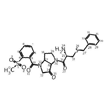 CS(=O)(=O)c1ccccc1C(=O)N1CC(=O)C2C1CCN2C(=O)[C@@H](N)CSCc1ccccc1